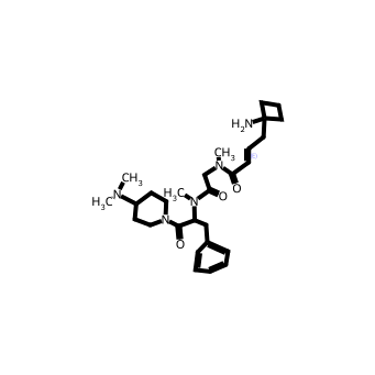 CN(CC(=O)N(C)C(Cc1ccccc1)C(=O)N1CCC(N(C)C)CC1)C(=O)/C=C/CC1(N)CCC1